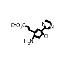 CCOC(=O)C=Cc1cc(-c2cnccn2)c(Cl)cc1N